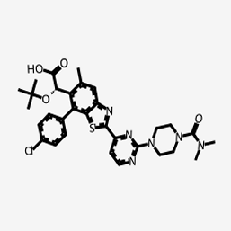 Cc1cc2nc(-c3ccnc(N4CCN(C(=O)N(C)C)CC4)n3)sc2c(-c2ccc(Cl)cc2)c1[C@H](OC(C)(C)C)C(=O)O